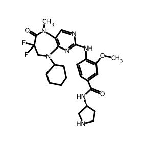 COc1cc(C(=O)N[C@H]2CCNC2)ccc1Nc1ncc2c(n1)N(C1CCCCC1)CC(F)(F)C(=O)N2C